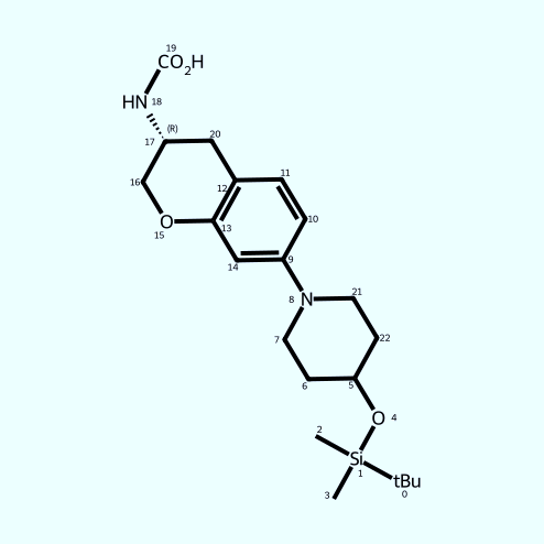 CC(C)(C)[Si](C)(C)OC1CCN(c2ccc3c(c2)OC[C@H](NC(=O)O)C3)CC1